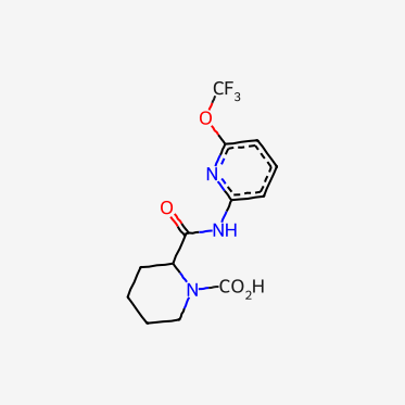 O=C(Nc1cccc(OC(F)(F)F)n1)C1CCCCN1C(=O)O